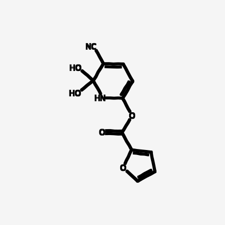 N#CC1=CC=C(OC(=O)c2ccco2)NC1(O)O